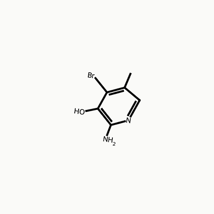 Cc1cnc(N)c(O)c1Br